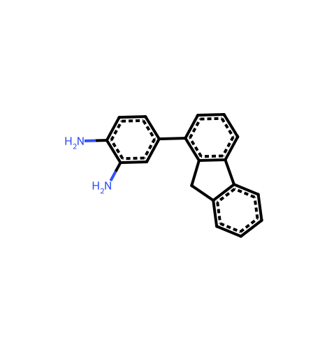 Nc1ccc(-c2cccc3c2Cc2ccccc2-3)cc1N